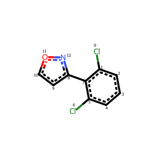 Clc1cccc(Cl)c1-c1c[c]on1